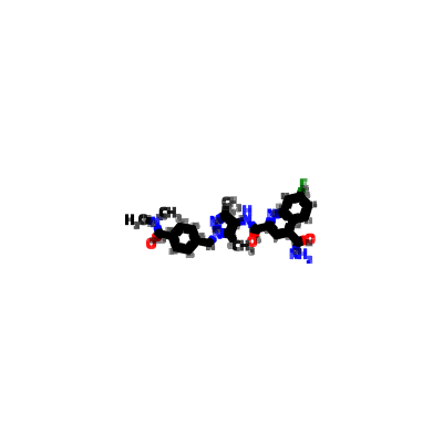 Cc1c(NC(=O)c2cc(C(N)=O)c3ccc(F)cc3n2)c(C(F)(F)F)nn1Cc1ccc(C(=O)N(C)C)cc1